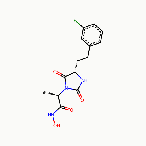 CC(C)[C@H](C(=O)NO)N1C(=O)N[C@@H](CCc2cccc(F)c2)C1=O